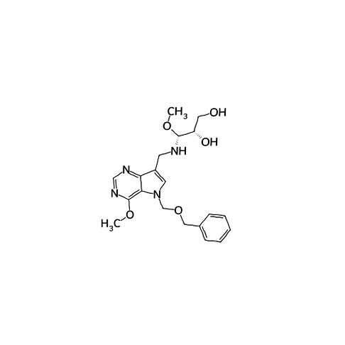 COc1ncnc2c(CN[C@H](OC)[C@@H](O)CO)cn(COCc3ccccc3)c12